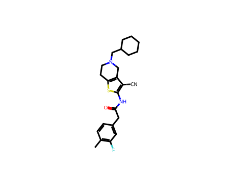 Cc1ccc(CC(=O)Nc2sc3c(c2C#N)CN(CC2CCCCC2)CC3)cc1F